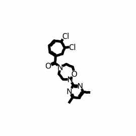 Cc1cc(C)nc(N2CCN(C(=O)C3=CC=CC(Cl)C(Cl)C3)CCO2)n1